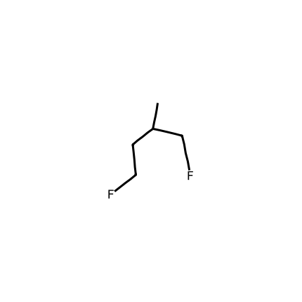 CC(CF)CCF